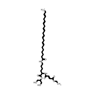 CCC=CCC=CCC=CCC=CCC=CCCCCCC(=O)NCCCCC(NC(=O)C=CC(=O)OCC)C(=O)OC(CO)CO